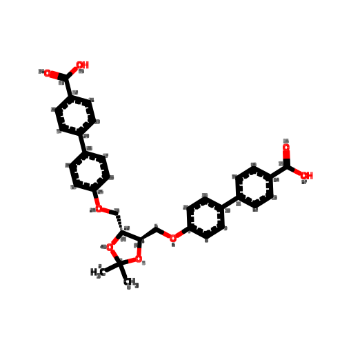 CC1(C)O[C@H](COc2ccc(-c3ccc(C(=O)O)cc3)cc2)[C@@H](COc2ccc(-c3ccc(C(=O)O)cc3)cc2)O1